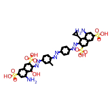 Cc1cc(/N=N/c2c(S(=O)(=O)O)cc3cc(S(=O)(=O)O)cc(N)c3c2O)ccc1/N=N/c1ccc(/N=N/c2c(S(=O)(=O)O)cc3cc(S(=O)(=O)O)cc(N)c3c2C2CC2)cc1